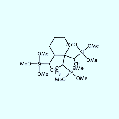 CO[Si](OC)(OC)C(C)C1CCCCC1(C(C)[Si](OC)(OC)OC)C(C)[Si](OC)(OC)OC